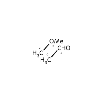 CC=O.COC